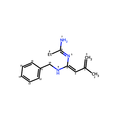 C=C(C)/C=C(\N=C(\N)CC)NCc1ccccc1